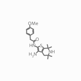 COc1ccc(CC(=O)Nc2sc3c(c2N)CC(C)(C)NC3(C)C)cc1